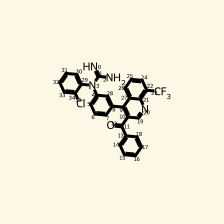 N=C(N)N(c1cccc(-c2c(C(=O)c3ccccc3)cnc3c(C(F)(F)F)cccc23)c1)c1ccccc1Cl